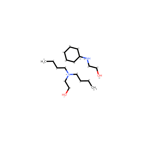 CCCCN(CCO)CCCC.OCCNC1CCCCC1